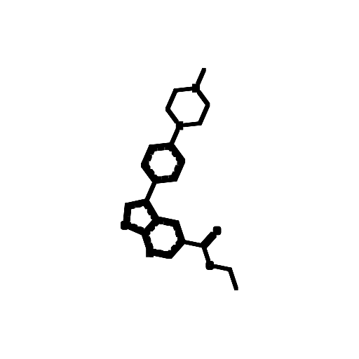 CCOC(=O)c1cnc2occ(-c3ccc(N4CCN(C)CC4)cc3)c2c1